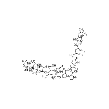 CC(C)CC(N)C(=O)O.CC(C)CC(N)C(=O)O.CC(N)C(=O)O.CNC(CC(C)C)C(=O)O.CNC(CC(C)C)C(=O)O.CN[C@@H](C)C(=O)O.O=C(O)C1CCCN1.O=C(O)C1CCCN1.O=C1CC[C@@H](C(=O)O)N1.O=C1CC[C@@H](C(=O)O)N1